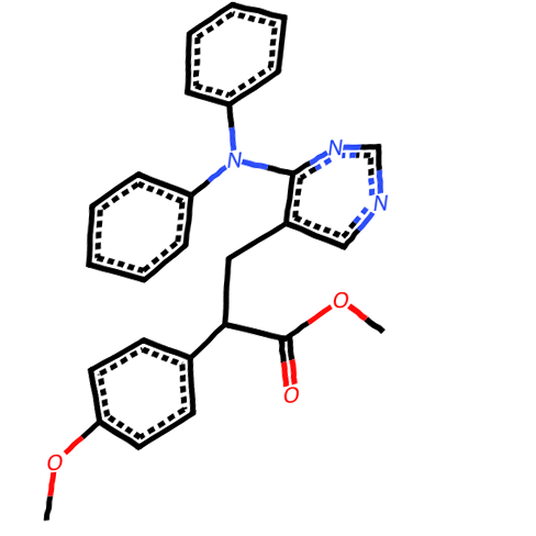 COC(=O)C(Cc1cncnc1N(c1ccccc1)c1ccccc1)c1ccc(OC)cc1